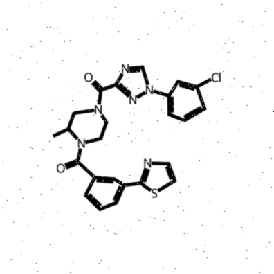 CC1CN(C(=O)c2ncn(-c3cccc(Cl)c3)n2)CCN1C(=O)c1cccc(-c2nccs2)c1